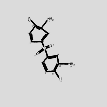 Nc1cc(S(=O)(=O)c2ccc(Cl)c(N)c2)ccc1Cl